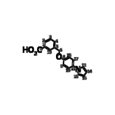 O=C(O)c1cccc(COc2ccc(-n3cccc3)cc2)c1